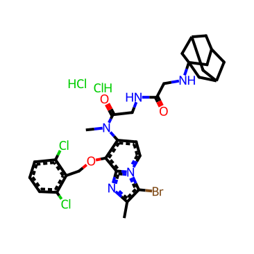 Cc1nc2c(OCc3c(Cl)cccc3Cl)c(N(C)C(=O)CNC(=O)CNC34CC5CC(CC(C5)C3)C4)ccn2c1Br.Cl.Cl